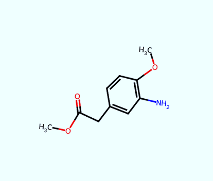 COC(=O)Cc1ccc(OC)c(N)c1